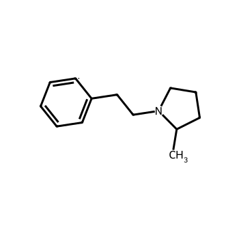 CC1CCCN1CCc1[c]cccc1